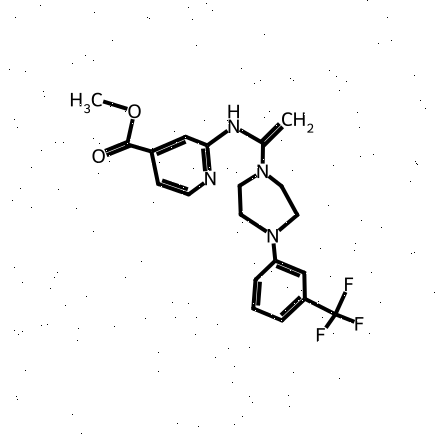 C=C(Nc1cc(C(=O)OC)ccn1)N1CCN(c2cccc(C(F)(F)F)c2)CC1